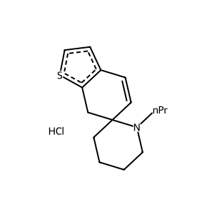 CCCN1CCCCC12C=Cc1ccsc1C2.Cl